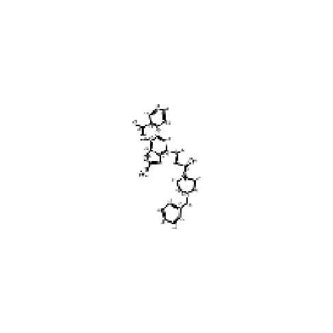 CC(=O)c1cc2c(C(C)=CC(=O)N3CCN(Cc4ccccc4)CC3)ccc(OC(C)c3ccccc3)c2o1